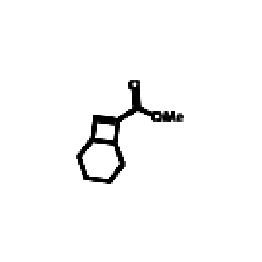 COC(=O)C1=CC2CCCCC12